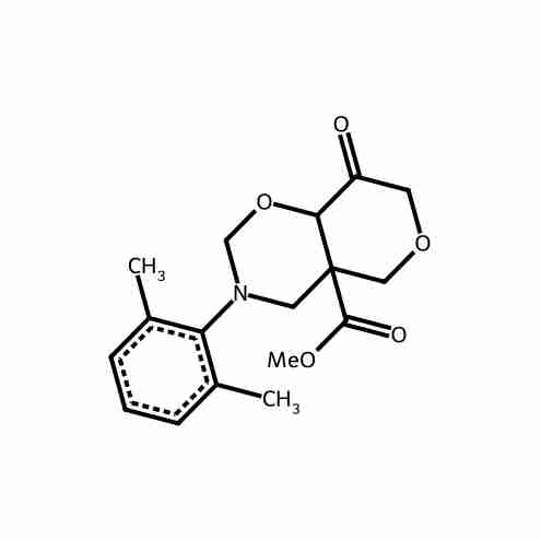 COC(=O)C12COCC(=O)C1OCN(c1c(C)cccc1C)C2